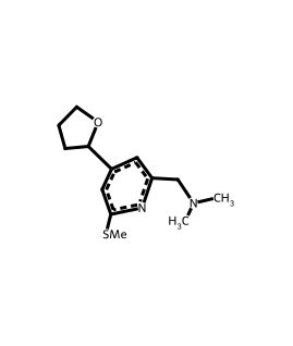 CSc1cc(C2CCCO2)cc(CN(C)C)n1